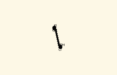 Oc1ccc(Cl)cc1C=NCCCCCCCCCCCCN=Cc1cc(Cl)ccc1O